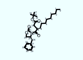 CCCCCCCCC[C@H](CC(=O)OC(C)(C)C)C(=O)N1C(=O)OC[C@@H]1Cc1ccccc1